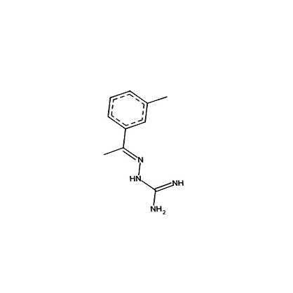 CC(=NNC(=N)N)c1cccc(C)c1